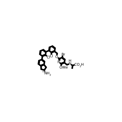 COc1nc(OCc2cccc(-c3cccc(-c4ccc5c(c4)C[C@@H](N)C5)c3Cl)c2Cl)c(Br)cc1CNC(C)C(=O)O